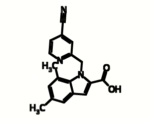 Cc1cc(C)c2c(c1)cc(C(=O)O)n2Cc1cc(C#N)ccn1